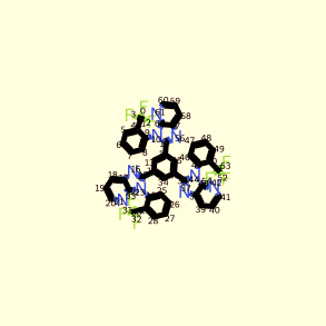 FC(F)(F)c1ccccc1-n1c(-c2cc(-c3nc4cccnc4n3-c3ccccc3C(F)(F)F)cc(-c3nc4cccnc4n3-c3ccccc3C(F)(F)F)c2)nc2cccnc21